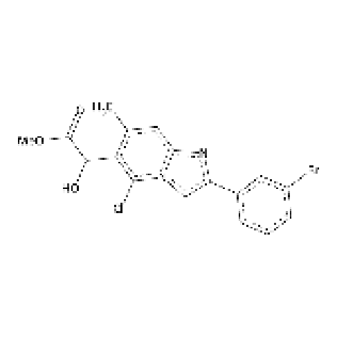 COC(=O)C(O)c1c(C)cc2nc(-c3cccc(Br)c3)cn2c1Cl